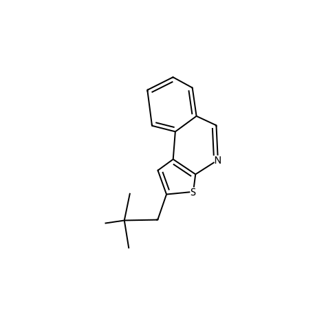 CC(C)(C)Cc1cc2c(ncc3ccccc32)s1